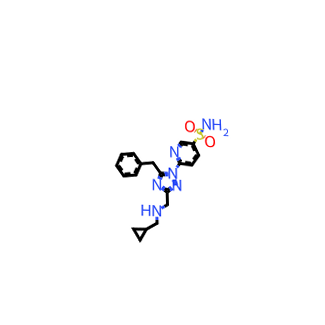 NS(=O)(=O)c1ccc(-n2nc(CNCC3CC3)nc2Cc2ccccc2)nc1